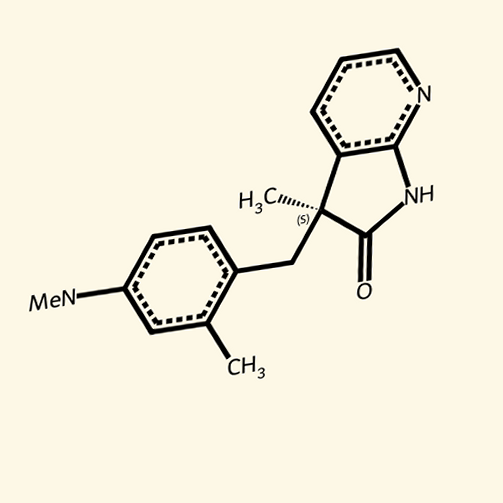 CNc1ccc(C[C@]2(C)C(=O)Nc3ncccc32)c(C)c1